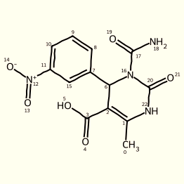 CC1=C(C(=O)O)C(c2cccc([N+](=O)[O-])c2)N(C(N)=O)C(=O)N1